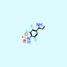 CC[C@@H](N)c1cc(F)c(NS(C)(=O)=O)c(F)c1F